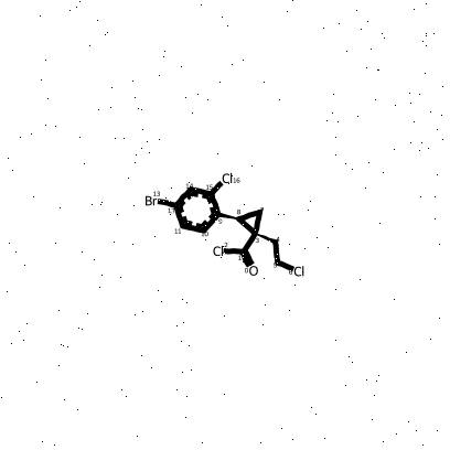 O=C(Cl)[C@@]1(CCCl)C[C@@H]1c1ccc(Br)cc1Cl